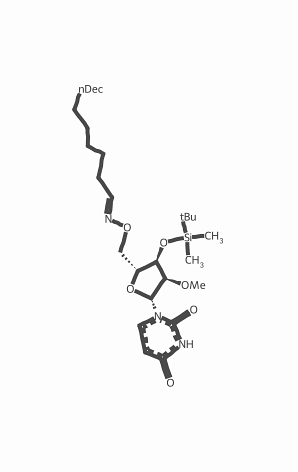 CCCCCCCCCCCCCCCC=NOC[C@H]1O[C@@H](n2ccc(=O)[nH]c2=O)[C@H](OC)[C@@H]1O[Si](C)(C)C(C)(C)C